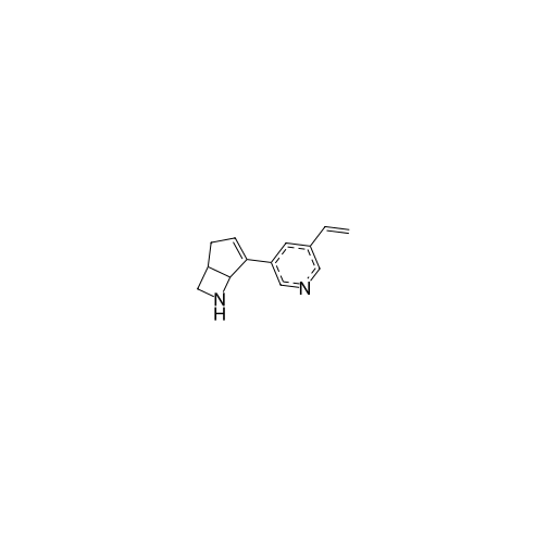 C=Cc1cncc(C2=CCC3CNC23)c1